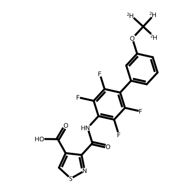 [2H]C([2H])([2H])Oc1cccc(-c2c(F)c(F)c(NC(=O)c3nscc3C(=O)O)c(F)c2F)c1